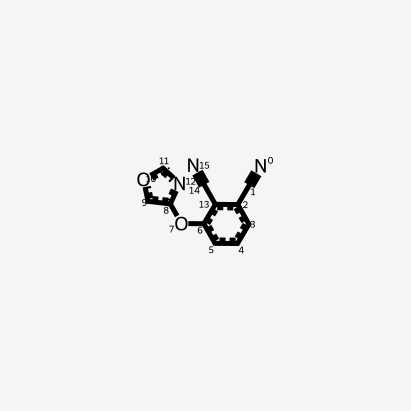 N#Cc1cccc(Oc2co[c]n2)c1C#N